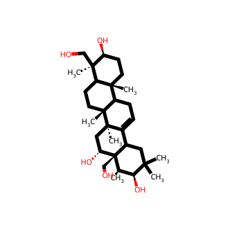 C[C@H]1[C@H](O)C(C)(C)CC2C3=CCC4[C@@]5(C)CC[C@H](O)[C@](C)(CO)C5CC[C@@]4(C)[C@]3(C)C[C@@H](O)[C@]21CO